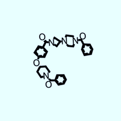 O=C(c1ccccc1)N1CCC(Oc2ccc(C(=O)N3CC(N4CCN(C(=O)c5ccccc5)CC4)C3)cc2)CC1